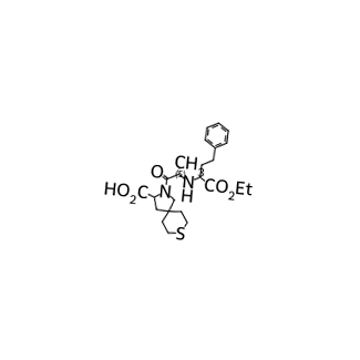 CCOC(=O)C(CCc1ccccc1)N[C@@H](C)C(=O)N1CC2(CCSCC2)CC1C(=O)O